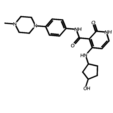 CN1CCN(c2ccc(NC(=O)c3c(NC4CCC(O)C4)cc[nH]c3=O)cc2)CC1